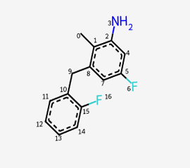 Cc1c(N)cc(F)cc1Cc1ccccc1F